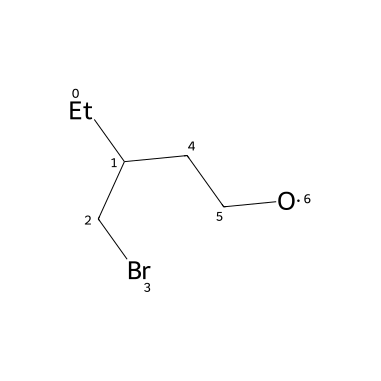 CCC(CBr)CC[O]